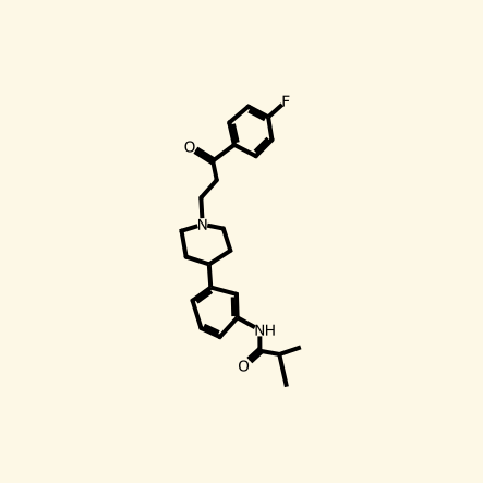 CC(C)C(=O)Nc1cccc(C2CCN(CCC(=O)c3ccc(F)cc3)CC2)c1